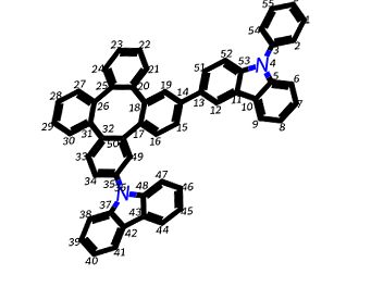 c1ccc(-n2c3ccccc3c3cc(-c4ccc5c(c4)-c4ccccc4-c4ccccc4-c4ccc(-n6c7ccccc7c7ccccc76)cc4-5)ccc32)cc1